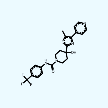 Cc1sc(C2(O)CCN(C(=O)Nc3ccc(C(F)(F)F)cc3)CC2)nc1-c1ccncc1